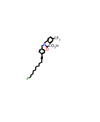 O=C(O)C(=O)N(Cc1ccc(C#CCCCCCCCCCF)cc1)Cc1ccc(C(F)(F)F)cc1